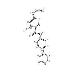 CCCCCCOc1ccc(C(=O)Oc2ccc(-c3ccccc3)cc2)c(F)c1